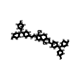 Cc1ccc(N(c2ccc(C)cc2)c2ccc(C=Cc3ccc4c(C#N)c(C=Cc5ccc(N(c6ccc(C)cc6)c6ccc(C)cc6)cc5)ccc4c3C#N)cc2)cc1